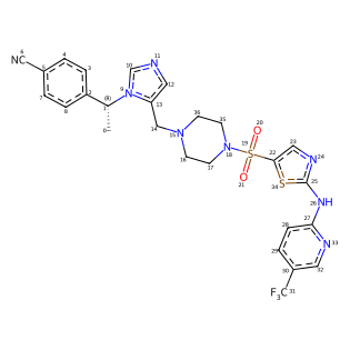 C[C@H](c1ccc(C#N)cc1)n1cncc1CN1CCN(S(=O)(=O)c2cnc(Nc3ccc(C(F)(F)F)cn3)s2)CC1